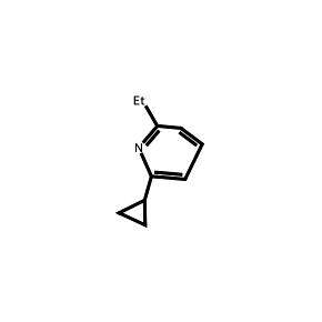 [CH2]Cc1cccc(C2CC2)n1